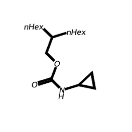 CCCCCCC(CCCCCC)COC(=O)NC1CC1